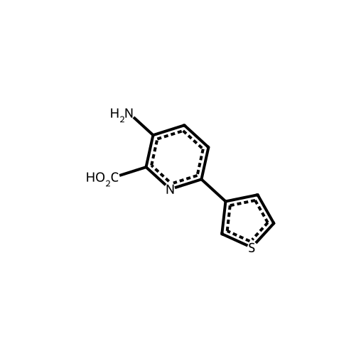 Nc1ccc(-c2ccsc2)nc1C(=O)O